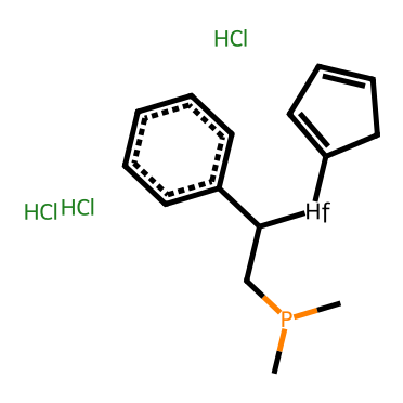 CP(C)C[CH]([Hf][C]1=CC=CC1)c1ccccc1.Cl.Cl.Cl